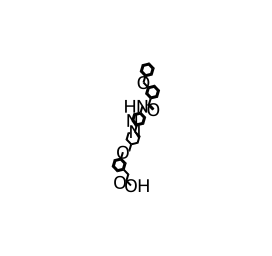 O=C(O)Cc1cccc(OCC2CCN(c3ccc(NC(=O)c4cccc(Oc5ccccc5)c4)cn3)CC2)c1